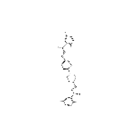 Cc1ccc(C)c(C(=O)OOC2=CCC(C3CCC(OOC(=O)c4cc(C)ccc4C)CC3)CC2)c1